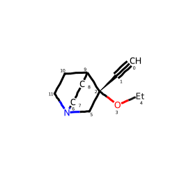 C#C[C@@]1(OCC)CN2CCC1CC2